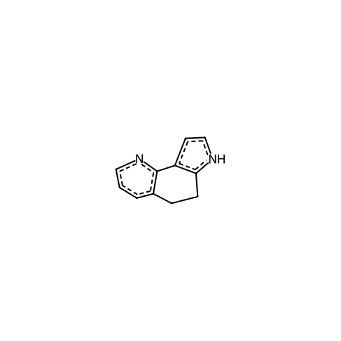 c1cnc2c(c1)CCc1[nH]ccc1-2